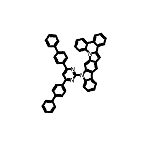 c1ccc(-c2ccc(-c3cc(-c4ccc(-c5ccccc5)cc4)nc(-n4c5ccccc5c5cc6cc7c8ccccc8c8ccccc8n7c6cc54)n3)cc2)cc1